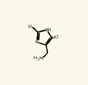 CCc1nc(CN)c[nH]1.Cl